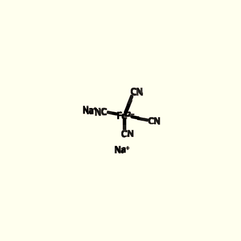 N#[C][Fe-2]([C]#N)([C]#N)[C]#N.[Na+].[Na+]